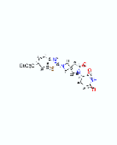 CCOC(=O)c1ccc2nc(N3CC4(CC(=O)N(C5CCC(=O)NC5=O)C4)C3)sc2c1